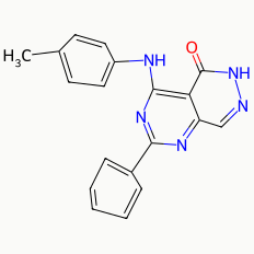 Cc1ccc(Nc2nc(-c3ccccc3)nc3cn[nH]c(=O)c23)cc1